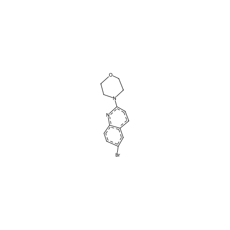 Brc1ccc2nc(N3CCOCC3)ccc2c1